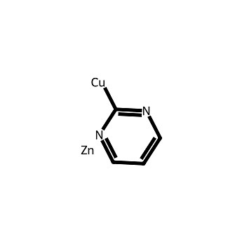 [Cu][c]1ncccn1.[Zn]